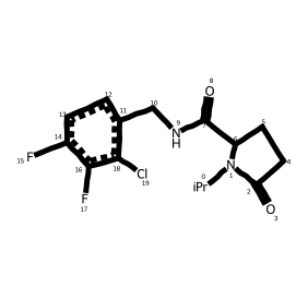 CC(C)N1C(=O)CCC1C(=O)NCc1ccc(F)c(F)c1Cl